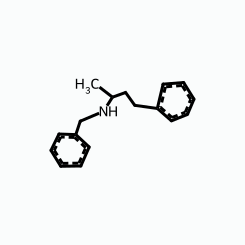 CC(CCc1ccccc1)NCc1ccccc1